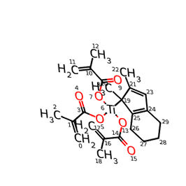 C=C(C)C(=O)[O][Ti]([O]C(=O)C(=C)C)([O]C(=O)C(=C)C)[C]1(C)C(C)=CC2=C1CCCC2